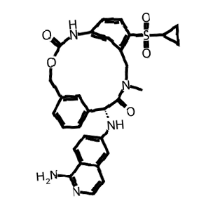 CN1Cc2cc(ccc2S(=O)(=O)C2CC2)NC(=O)OCc2cccc(c2)[C@@H](Nc2ccc3c(N)nccc3c2)C1=O